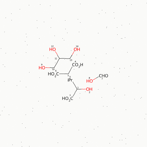 CC(C)C(O)C(=O)O.O=C(O)CC(=O)O.O=CO.OCC(O)CO